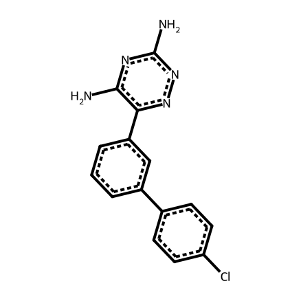 Nc1nnc(-c2cccc(-c3ccc(Cl)cc3)c2)c(N)n1